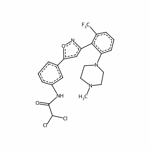 CN1CCN(c2cccc(C(F)(F)F)c2-c2cc(-c3cccc(NC(=O)C(Cl)Cl)c3)on2)CC1